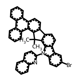 CC1(C)c2c(ccc3c4ccccc4c4ccccc4c23)-c2ccc3c4cc(Br)ccc4n(-c4ccc5ccccc5n4)c3c21